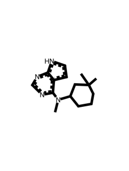 CN(c1ncnc2[nH]ccc12)C1CCCC(C)(C)C1